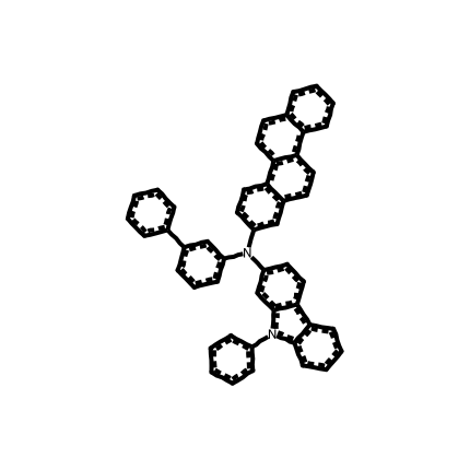 c1ccc(-c2cccc(N(c3ccc4c(ccc5c6ccccc6ccc45)c3)c3ccc4c5ccccc5n(-c5ccccc5)c4c3)c2)cc1